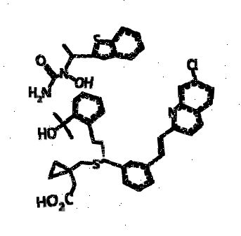 CC(C)(O)c1ccccc1CC[C@@H](SCC1(CC(=O)O)CC1)c1cccc(/C=C/c2ccc3ccc(Cl)cc3n2)c1.CC(c1cc2ccccc2s1)N(O)C(N)=O